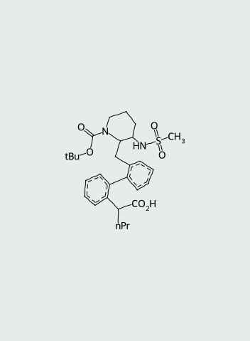 CCCC(C(=O)O)c1ccccc1-c1ccccc1CC1C(NS(C)(=O)=O)CCCN1C(=O)OC(C)(C)C